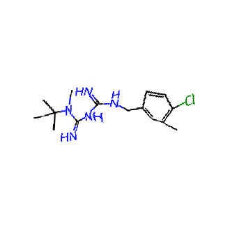 Cc1cc(CNC(=N)NC(=N)N(C)C(C)(C)C)ccc1Cl